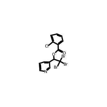 O=C(OC(c1cccnc1)C(Br)(Br)Br)c1ccccc1Cl